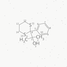 CC(C)(O)C1(c2ccccc2)SCCCS1